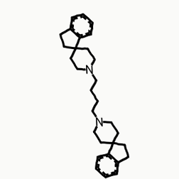 c1ccc2c(c1)CCC21CCN(CCCCN2CCC3(CCc4ccccc43)CC2)CC1